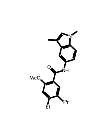 CCc1cc(OC)c(C(=O)Nc2ccc3c(c2)c(C)cn3C)cc1C(C)C